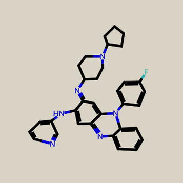 Fc1ccc(-n2c3c/c(=N\C4CCN(C5CCCC5)CC4)c(Nc4cccnc4)cc-3nc3ccccc32)cc1